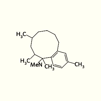 CNC1(C)c2ccc(C)cc2CCCCC(C)CC1C